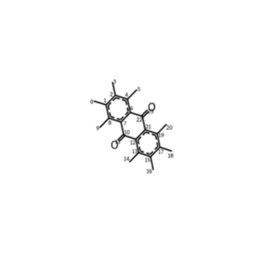 Cc1c(C)c(C)c2c(c1C)C(=O)c1c(C)c(C)c(C)c(C)c1C2=O